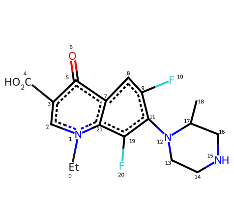 CCn1cc(C(=O)O)c(=O)c2cc(F)c(N3CCNCC3C)c(F)c21